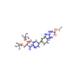 CCOC(=O)Nc1nc2cc(-c3cnc(N[C@@H](COC(C)(C)C)C(=O)OC(C)(C)C)nc3)ccc2[nH]1